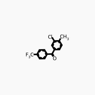 Cc1ccc(C(=O)c2ccc(C(F)(F)F)cc2)cc1Cl